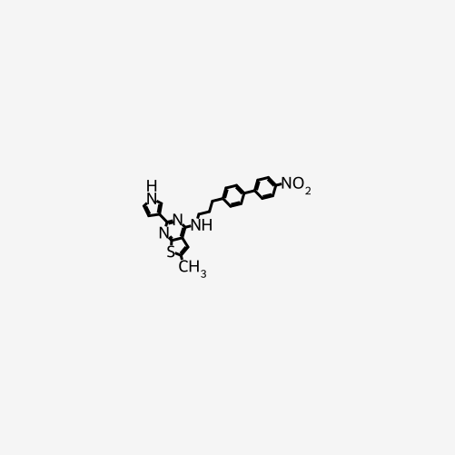 Cc1cc2c(NCCCc3ccc(-c4ccc([N+](=O)[O-])cc4)cc3)nc(-c3cc[nH]c3)nc2s1